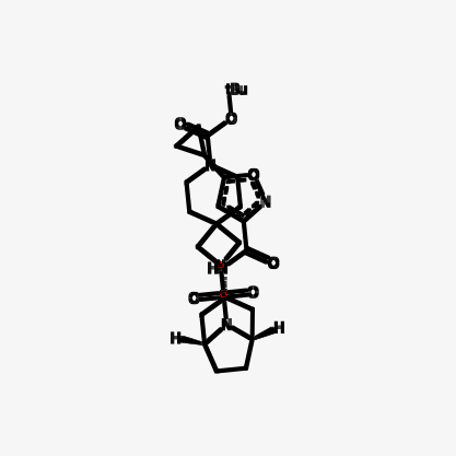 CC(C)(C)OC(=O)N1CCC2(CC1)CN(S(=O)(=O)N1[C@@H]3CC[C@H]1C[C@@H](NC(=O)c1cc(C4CC4)on1)C3)C2